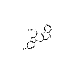 CCOC(=O)Oc1cc2cc(F)ccc2n1Cc1cnc2ccccc2n1